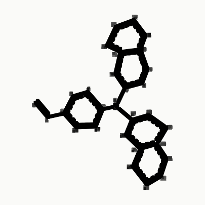 C=Cc1ccc(N(c2ccc3ccccc3c2)c2ccc3ccccc3c2)cc1